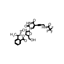 CSSC(C)c1ccccc1C(=O)O[C@@H]1C[C@H](n2cc(C#CCNC(=O)C(F)(F)F)c(=O)[nH]c2=O)OC1CO